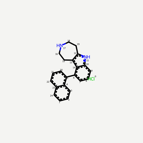 Cl.c1ccc2c(-c3cccc4[nH]c5c(c34)CCNCC5)cccc2c1